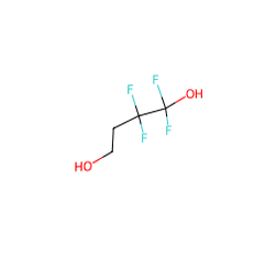 OCCC(F)(F)C(O)(F)F